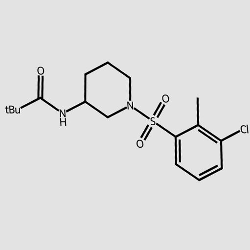 Cc1c(Cl)cccc1S(=O)(=O)N1CCCC(NC(=O)C(C)(C)C)C1